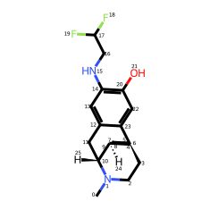 CN1CC[C@]23CCCC[C@@H]2[C@H]1Cc1cc(NCC(F)F)c(O)cc13